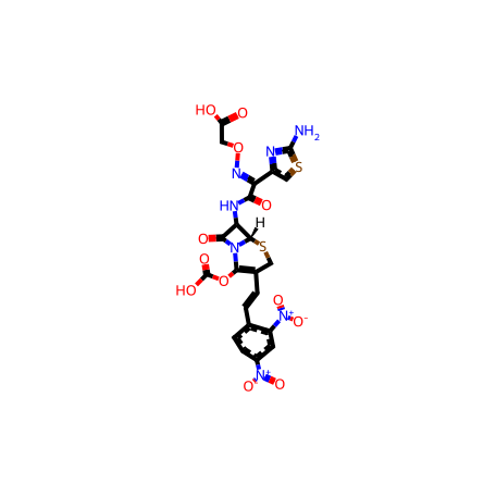 Nc1nc(C(=NOCC(=O)O)C(=O)NC2C(=O)N3C(OC(=O)O)=C(C=Cc4ccc([N+](=O)[O-])cc4[N+](=O)[O-])CS[C@@H]23)cs1